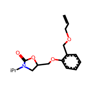 C=CCOCc1ccccc1OCC1CN(C(C)C)C(=O)O1